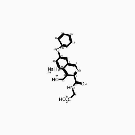 O=C(O)CNC(=O)c1ncc2cc(Oc3ccccc3)ccc2c1CO.[NaH]